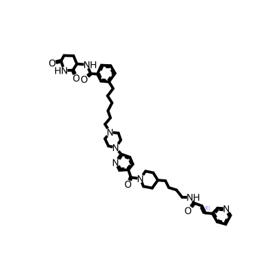 O=C(/C=C/c1cccnc1)NCCCCC1CCN(C(=O)c2ccc(N3CCN(CCCCCCc4cccc(C(=O)NC5CCC(=O)NC5=O)c4)CC3)nc2)CC1